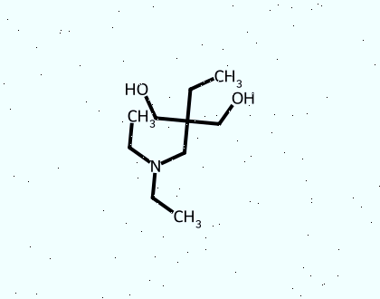 CCN(CC)CC(CC)(CO)CO